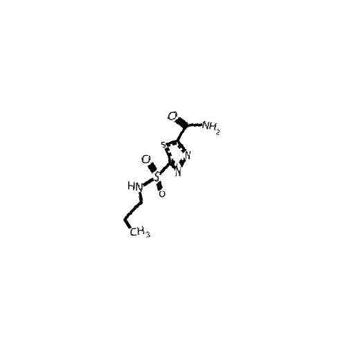 CCCNS(=O)(=O)c1nnc(C(N)=O)s1